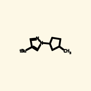 CC1CCC(n2cc(C(C)(C)C)cn2)C1